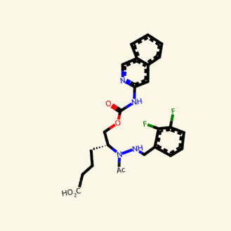 CC(=O)N(NCc1cccc(F)c1F)[C@H](CCCC(=O)O)COC(=O)Nc1cc2ccccc2cn1